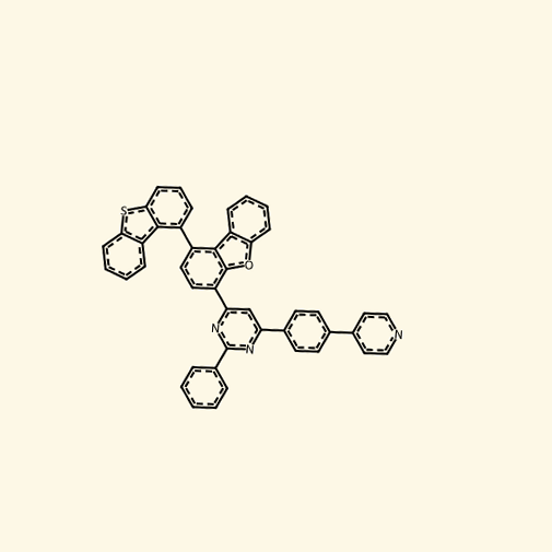 c1ccc(-c2nc(-c3ccc(-c4ccncc4)cc3)cc(-c3ccc(-c4cccc5sc6ccccc6c45)c4c3oc3ccccc34)n2)cc1